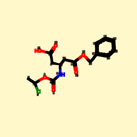 CC(Cl)OC(=O)N[C@@H](CC(=O)O)CC(=O)OCc1ccccc1